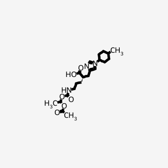 CC(=O)OC(C)OC(=O)NCCC[C@@H](Cc1cn(C2CCC(C)CC2)cn1)C(=O)O